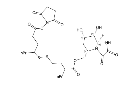 CCCC(CCC(=O)ON1C(=O)CCC1=O)SSCCC(CCC)C(=O)OC[C@@H]1C[C@H](O)[C@H](O)[C@H]2NC(=O)C(=O)N12